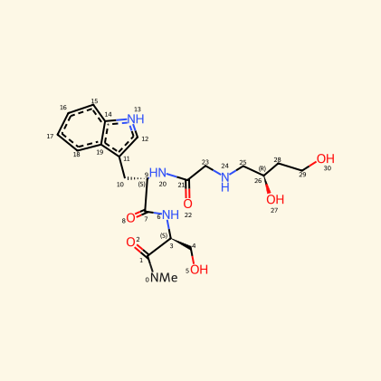 CNC(=O)[C@H](CO)NC(=O)[C@H](Cc1c[nH]c2ccccc12)NC(=O)CNC[C@H](O)CCO